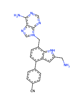 N#Cc1ccc(-c2ccc(Cn3cnc4c(N)ncnc43)c3[nH]c(CN)cc23)cc1